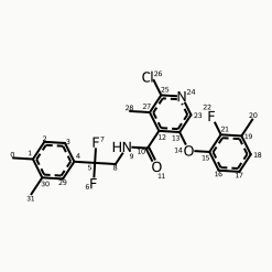 Cc1ccc(C(F)(F)CNC(=O)c2c(Oc3cccc(C)c3F)cnc(Cl)c2C)cc1C